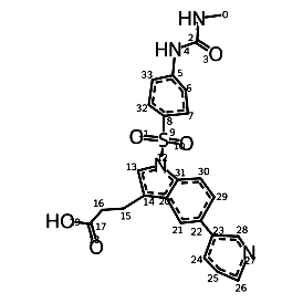 CNC(=O)Nc1ccc(S(=O)(=O)n2cc(CCC(=O)O)c3cc(-c4cccnc4)ccc32)cc1